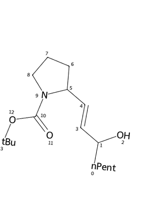 CCCCCC(O)/C=C/C1CCCN1C(=O)OC(C)(C)C